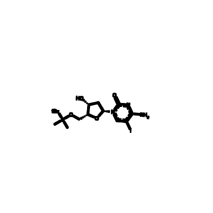 CC(C)(C)[Si](C)(C)OC[C@H]1O[C@@H](n2cc(I)c(N)nc2=O)C[C@H]1O